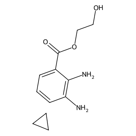 C1CC1.Nc1cccc(C(=O)OCCO)c1N